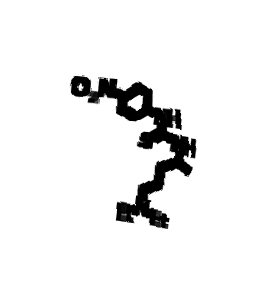 CCN(CC)CCCC(C)NC(=S)Nc1ccc([N+](=O)[O-])cc1